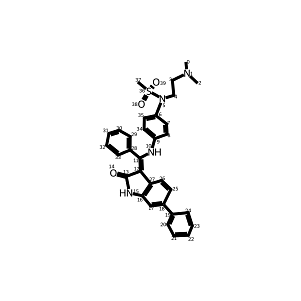 CN(C)CCN(c1ccc(NC(=C2C(=O)Nc3cc(-c4ccccc4)ccc32)c2ccccc2)cc1)S(C)(=O)=O